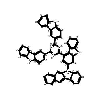 c1ccc2cc3c(cc2c1)c1ccccc1n3-c1cc(-c2nc(-c3ccc4oc5ccccc5c4c3)nc(-c3ccc4sc5ccccc5c4c3)n2)c2c(c1)oc1ccccc12